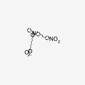 C=C(C)C(=O)OCCCCCCCCO[N+](=Cc1ccccc1)c1ccc(C=Cc2ccc([N+](=O)[O-])cc2)cc1